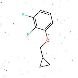 Fc1cccc(OCC2CC2)c1F